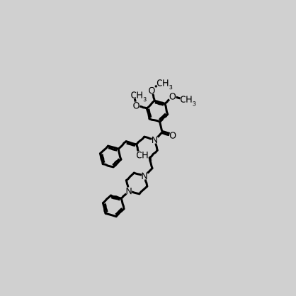 COc1cc(C(=O)N(CCCN2CCN(c3ccccc3)CC2)C/C(C)=C/c2ccccc2)cc(OC)c1OC